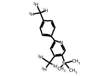 [2H]C([2H])([2H])c1ccc(-c2cc(C([2H])([2H])[2H])c([Si](C)(C)C)cn2)cc1